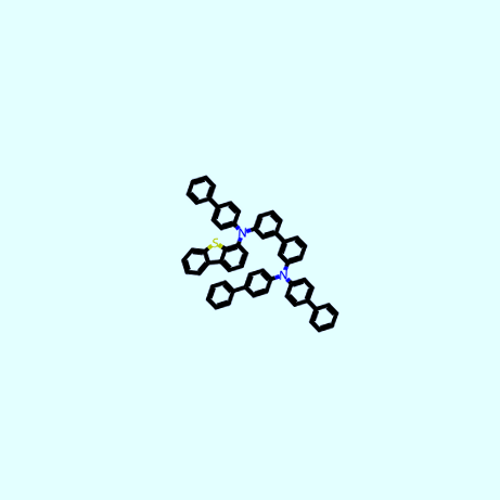 c1ccc(-c2ccc(N(c3ccc(-c4ccccc4)cc3)c3cccc(-c4cccc(N(c5ccc(-c6ccccc6)cc5)c5cccc6c5sc5ccccc56)c4)c3)cc2)cc1